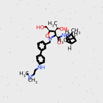 C[C@H](O)[C@@H]1[C@H](CO)ON(Cc2cccc(-c3ccc(NCCN(C)C)cc3)c2)[C@@H]1C(=O)NC1C[C@@H]2C[C@H]([C@@H]1C)C2(C)C